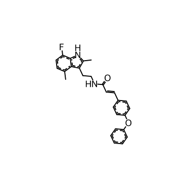 Cc1[nH]c2c(F)ccc(C)c2c1CCNC(=O)/C=C/c1ccc(Oc2ccccc2)cc1